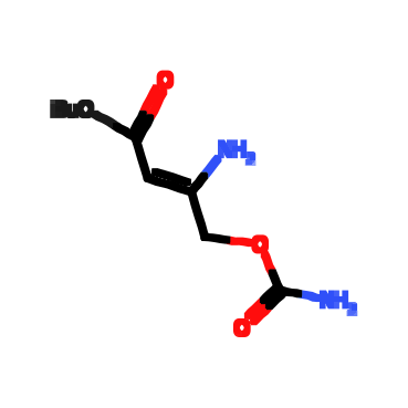 CC(C)COC(=O)C=C(N)COC(N)=O